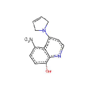 O=[N+]([O-])c1ccc(O)c2nccc(N3CC=CC3)c12